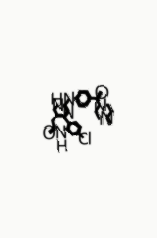 CN1CCN(C(=O)c2ccc(Nc3ncc4c(n3)-c3ccc(Cl)cc3NC(=O)C4)cc2)CC1